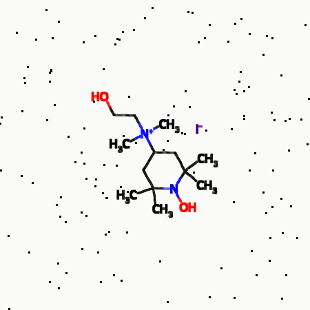 CC1(C)CC([N+](C)(C)CCO)CC(C)(C)N1O.[I-]